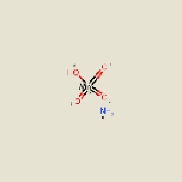 N.[O]=[Mn](=[O])(=[O])[OH]